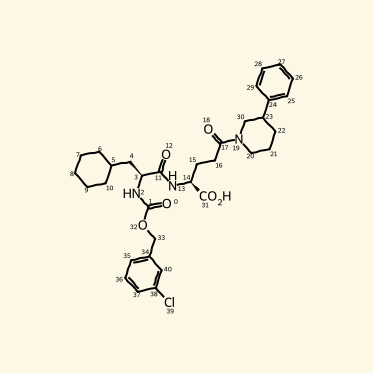 O=C(N[C@@H](CC1CCCCC1)C(=O)N[C@@H](CCC(=O)N1CCCC(c2ccccc2)C1)C(=O)O)OCc1cccc(Cl)c1